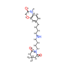 CN1C(=O)COc2cc(CCCCNCCCCN3C(=O)CC(C)(C)CC3=O)ccc21